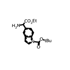 CCOC(=O)C(N)c1ccc2c(ccn2C(=O)OC(C)(C)C)c1